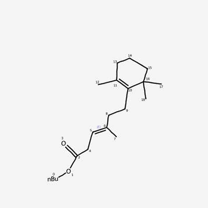 CCCCOC(=O)C/C=C(\C)CCC1=C(C)CCCC1(C)C